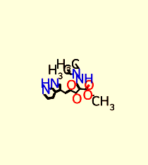 CCOC(=O)C1=C(NN(CC)CC)O/C(=C\c2c[nH]c3ncccc23)C1=O